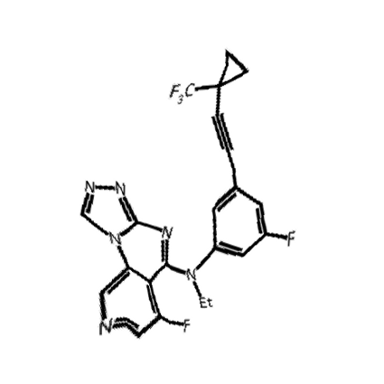 CCN(c1cc(F)cc(C#CC2(C(F)(F)F)CC2)c1)c1nc2nncn2c2cncc(F)c12